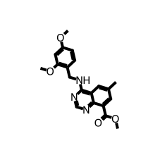 COC(=O)c1cc(C)cc2c(NCc3ccc(OC)cc3OC)ncnc12